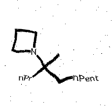 CCCCCCC(C)(CCC)N1CCC1